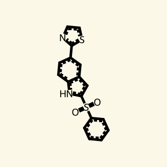 O=S(=O)(c1ccccc1)c1cc2cc(-c3nccs3)ccc2[nH]1